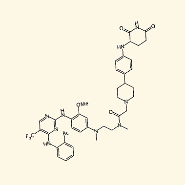 COc1cc(N(C)CCN(C)C(=O)CN2CCC(c3ccc(NC4CCC(=O)NC4=O)cc3)CC2)ccc1Nc1ncc(C(F)(F)F)c(Nc2ccccc2C(C)=O)n1